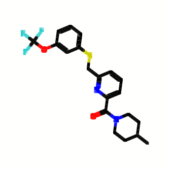 CC1CCN(C(=O)c2cccc(CSc3cccc(OC(F)(F)F)c3)n2)CC1